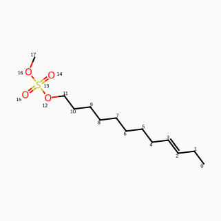 CC/C=C/CCCCCCCCOS(=O)(=O)OC